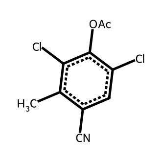 CC(=O)Oc1c(Cl)cc(C#N)c(C)c1Cl